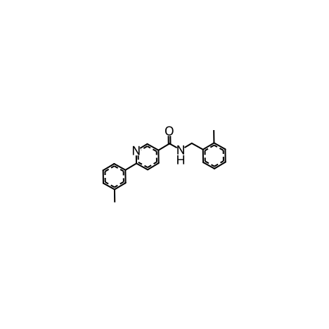 Cc1cccc(-c2ccc(C(=O)NCc3ccccc3C)cn2)c1